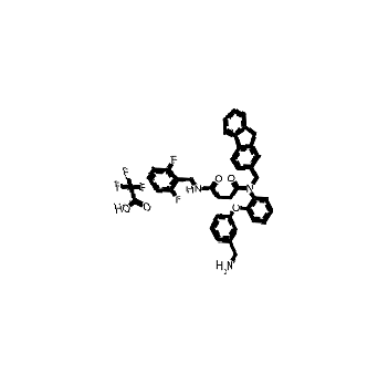 NCc1cccc(Oc2ccccc2N(Cc2ccc3c(c2)Cc2ccccc2-3)C(=O)CCC(=O)NCc2c(F)cccc2F)c1.O=C(O)C(F)(F)F